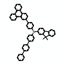 CC1(C)c2ccccc2-c2ccc(N(c3ccc(-c4ccc(-c5ccccc5)cc4)cc3)c3ccc(-c4ccc5c6ccccc6c6ccccc6c5c4)cc3)cc21